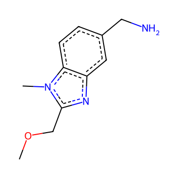 COCc1nc2cc(CN)ccc2n1C